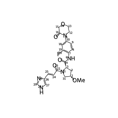 CO[C@@H]1C[C@H](C(=O)Nc2ccc(N3CCOCC3=O)cc2F)N(C(=O)C=Cc2c[nH]cn2)C1